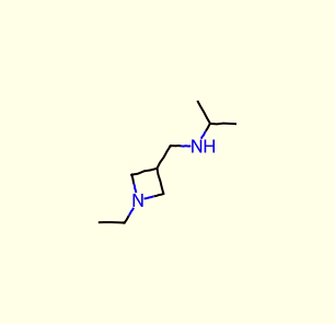 CCN1CC(CNC(C)C)C1